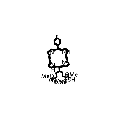 COP(=O)(CCC(CC[PH](O)(OC)OC)c1c2nc(cc3ccc([nH]3)c(-c3ccc(C)cc3)c3nc(cc4ccc1[nH]4)C=C3)C=C2)OC